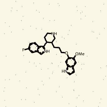 COc1cc2cc[nH]c2cc1OCCCC1CNCCC1c1[nH]cc2cc(F)ccc12